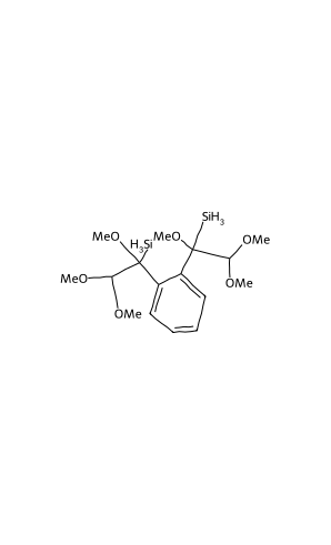 COC(OC)C([SiH3])(OC)c1ccccc1C([SiH3])(OC)C(OC)OC